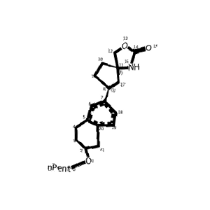 CCCCCOC1CCc2cc([C@H]3CC[C@]4(COC(=O)N4)C3)ccc2C1